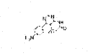 C[C@@H]1CC(=O)Nc2ncnc(-c3ccc(N)cc3)c21